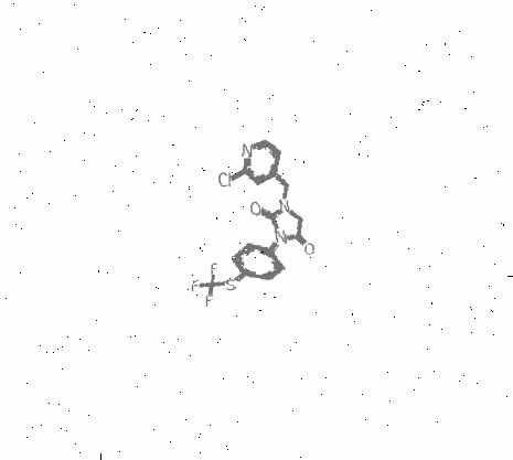 O=C1CN(Cc2ccnc(Cl)c2)C(=O)N1c1ccc(SC(F)(F)F)cc1